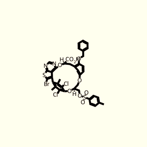 Cc1ccc(S(=O)(=O)OC[C@@H]2COc3ccc(OCc4ccccc4)c(c3)C[C@H](C(=O)O)Oc3ncnc4sc(Br)c(c34)-c3c(C)c(Cl)c(c(Cl)c3C)O2)cc1